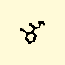 NCC(=O)c1ccncc1Br